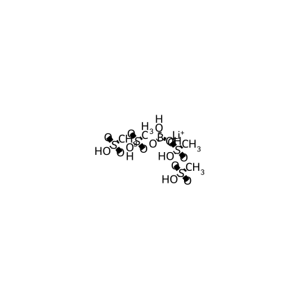 CS(=O)(=O)O.CS(=O)(=O)O.CS(=O)(=O)O.CS(=O)(=O)O.[Li+].[O-]B(O)O